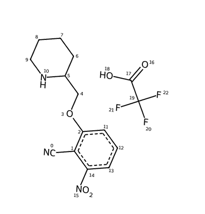 N#Cc1c(OCC2CCCCN2)cccc1[N+](=O)[O-].O=C(O)C(F)(F)F